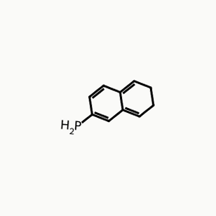 Pc1ccc2c(c1)=CCCC=2